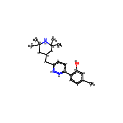 Cc1ccc(-c2ccc(CC3CC(C)(C)NC(C)(C)C3)nn2)c(O)c1